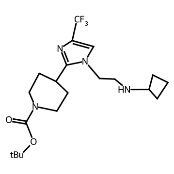 CC(C)(C)OC(=O)N1CCC(c2nc(C(F)(F)F)cn2CCNC2CCC2)CC1